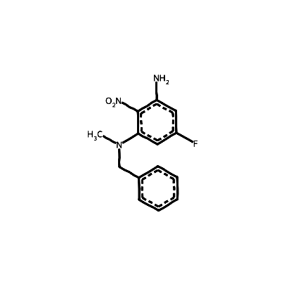 CN(Cc1ccccc1)c1cc(F)cc(N)c1[N+](=O)[O-]